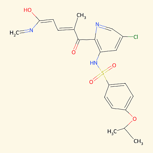 C=N/C(O)=C\C=C(/C)C(=O)c1ncc(Cl)cc1NS(=O)(=O)c1ccc(OC(C)C)cc1